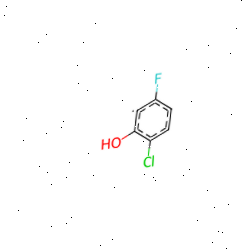 Oc1[c]c(F)ccc1Cl